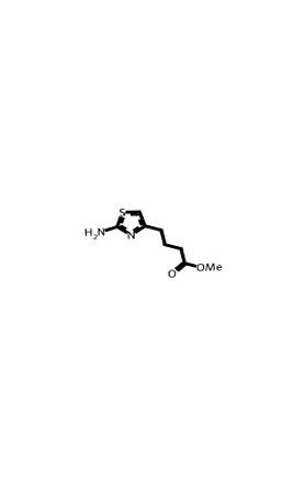 COC(=O)CCCc1csc(N)n1